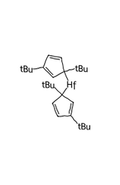 CC(C)(C)C1=C[C]([Hf][C]2(C(C)(C)C)C=CC(C(C)(C)C)=C2)(C(C)(C)C)C=C1